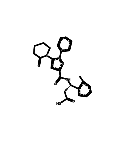 Cc1ccccc1[C@H](CC(=O)O)NC(=O)c1cc(N2CCCCC2=O)n(-c2ccccc2)n1